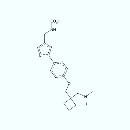 CN(C)CC1(COc2ccc(-c3ncc(CNC(=O)O)s3)cc2)CCC1